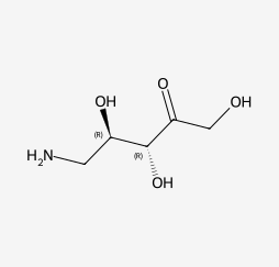 NC[C@@H](O)[C@@H](O)C(=O)CO